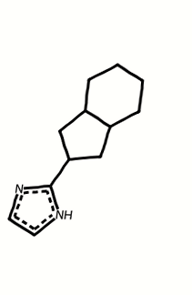 c1c[nH]c(C2CC3CCCCC3C2)n1